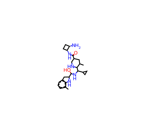 Cc1cccc2c1NC(C(O)NC(C1CC1)C1NCC(C(=O)N[C@H]3CC[C@H]3N)CC1C)C2